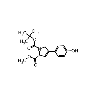 COC(=O)[C@@H]1C=C(c2ccc(O)cc2)CN1C(=O)OC(C)(C)C